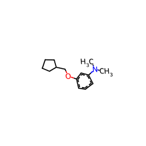 CN(C)c1cccc(OCC2CCCC2)c1